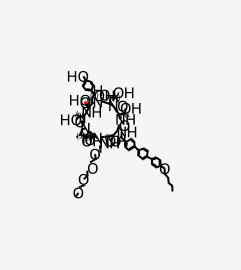 CCCCCOc1ccc(-c2ccc(-c3ccc(C(=O)NC4C[C@@H](O)C(NCCOCCOCCOCCOC)NC(=O)C5[C@@H](O)[C@@H](C)CN5C(=O)C([C@@H](C)O)NC(=O)C([C@H](O)[C@@H](O)c5ccc(O)cc5)NC(=O)C5C[C@@H](O)CN5C(=O)C([C@@H](C)O)NC4=O)cc3)cc2)cc1